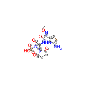 CO/N=C(\C(=O)N[C@@H]1C(=O)N(S(=O)(=O)O)[C@@H]1N1C(=O)CCC1=O)c1csc(N)n1